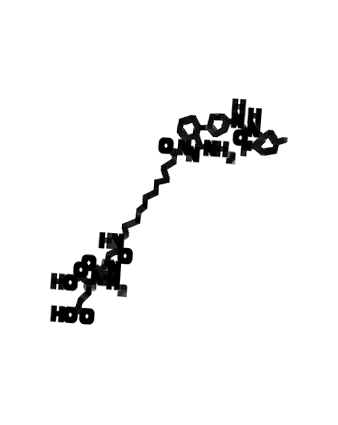 Cc1ccc(F)c(NC(=O)Nc2ccc(-c3cccc4c3c(N)nn4C(=O)CCCCCCCCCCCNC(=O)C[C@H](N)C(=O)N[C@@H](CCC(=O)O)C(=O)O)cc2)c1